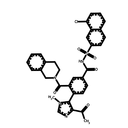 CC(=O)c1ncn(C)c1-c1ccc(C(=O)NS(=O)(=O)c2ccc3cccc(Cl)c3c2)cc1C(=O)N1CCc2ccccc2C1